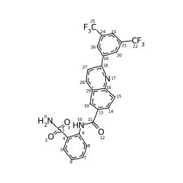 NS(=O)(=O)c1ccccc1NC(=O)c1ccc2nc(-c3cc(C(F)(F)F)cc(C(F)(F)F)c3)ccc2c1